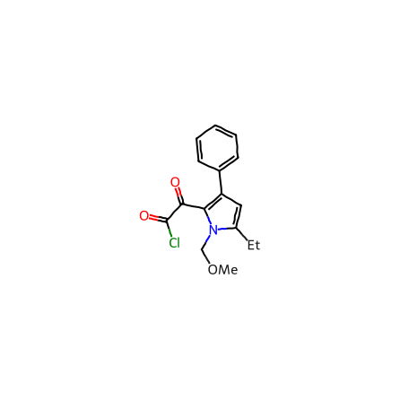 CCc1cc(-c2ccccc2)c(C(=O)C(=O)Cl)n1COC